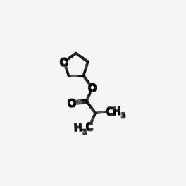 CC(C)C(=O)OC1CCOC1